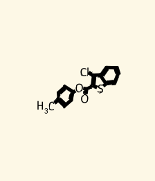 Cc1ccc(OC(=O)c2sc3ccccc3c2Cl)cc1